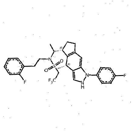 CC([C@@H]1CCC2=C1[C@@H](C)C1=CNN(c3ccc(F)cc3)C1=C2)N(CCc1ccccc1F)S(=O)(=O)CC(F)(F)F